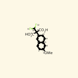 COc1ccc2cc(C(C(=O)O)(C(=O)O)C(F)F)ccc2c1